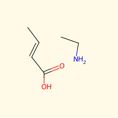 CC=CC(=O)O.CCN